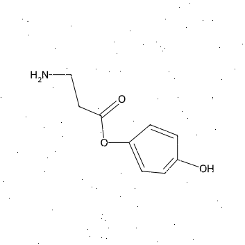 NCCC(=O)Oc1ccc(O)cc1